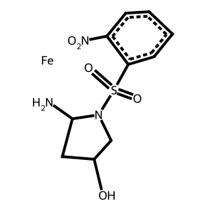 NC1CC(O)CN1S(=O)(=O)c1ccccc1[N+](=O)[O-].[Fe]